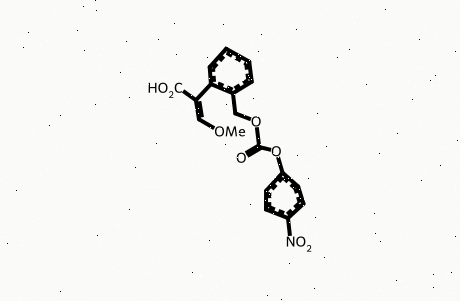 CO/C=C(/C(=O)O)c1ccccc1COC(=O)Oc1ccc([N+](=O)[O-])cc1